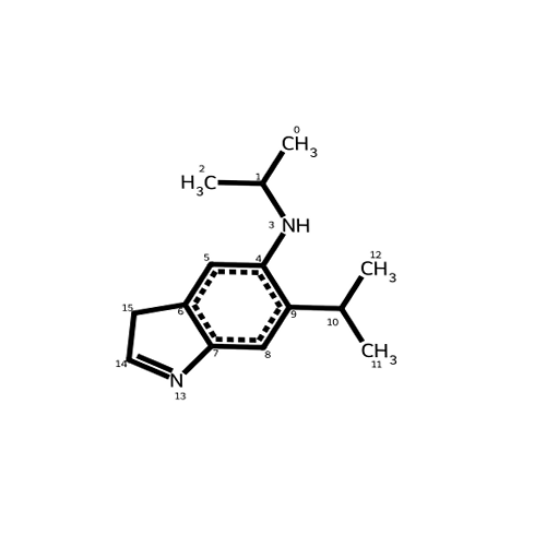 CC(C)Nc1cc2c(cc1C(C)C)N=CC2